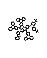 CC(C)(C)c1ccc2c(c1)c1cc(C(C)(C)C)ccc1n2-c1ccc2c(c1)N(c1ccc3c4ccccc4c4ccccc4c3c1)C1=CC(C3C=Cc4c3oc3ccccc43)C3=C1B2c1cc2c4ccccc4c4ccccc4c2cc1N3c1ccc2c3ccccc3c3ccccc3c2c1